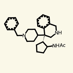 CC(=O)NC1CCC[C@@H]1C1(C2CCN(Cc3ccccc3)CC2)CNCc2ccccc21